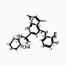 Cc1cn(C)c2nc(C(=O)N[C@H]3CCCC[C@@H]3O)cc(Cc3cccc(F)c3F)c12